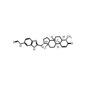 CN1C(=O)C=C[C@]2(C)[C@H]3CC[C@]4(C)[C@@H](Cc5nc6ccc(NC=O)cc6[nH]5)CC[C@H]4[C@@H]3CC[C@@H]12